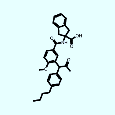 CCCCc1ccc(C(C(C)=O)c2cc(C(=O)NC3(C(=O)O)Cc4ccccc4C3)ccc2OC)cc1